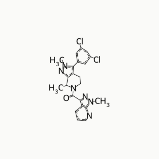 CC1c2nn(C)c(-c3cc(Cl)cc(Cl)c3)c2CCN1C(=O)c1nn(C)c2ncccc12